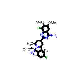 CCN[C@@](CC=O)(c1ccc(F)cc1)N1C(C)CC(c2nc(N)c3cc(OC)c(OC)c(F)c3n2)CC1C